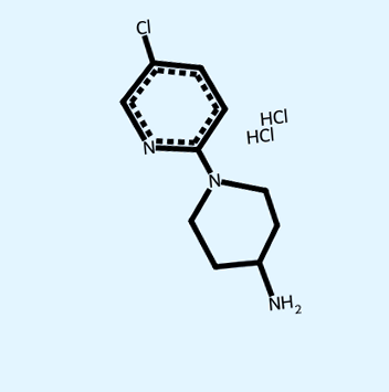 Cl.Cl.NC1CCN(c2ccc(Cl)cn2)CC1